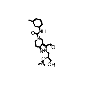 CC1CCCC(NC(=O)N2CCc3nn(CC(CO)ON(C)C)c(C=O)c3C2)C1